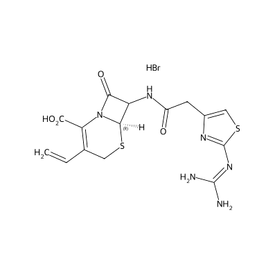 Br.C=CC1=C(C(=O)O)N2C(=O)C(NC(=O)Cc3csc(N=C(N)N)n3)[C@H]2SC1